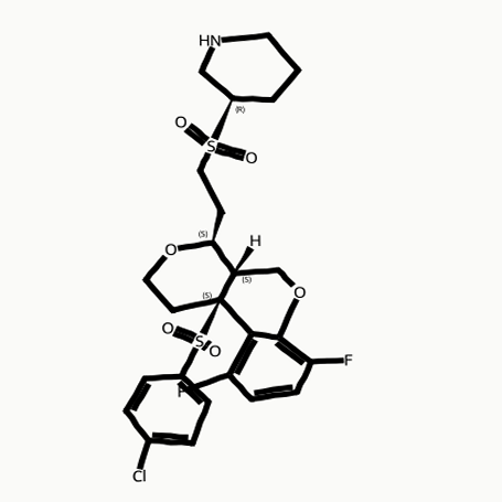 O=S(=O)(CC[C@@H]1OCC[C@@]2(S(=O)(=O)c3ccc(Cl)cc3)c3c(F)ccc(F)c3OC[C@@H]12)[C@@H]1CCCNC1